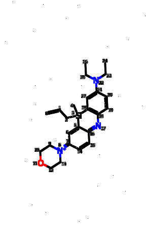 C=CC[Si]1(C)C2=CC(=[N+]3CCOCC3)C=CC2=Nc2ccc(N(CC)CC)cc21